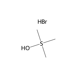 Br.CS(C)(C)O